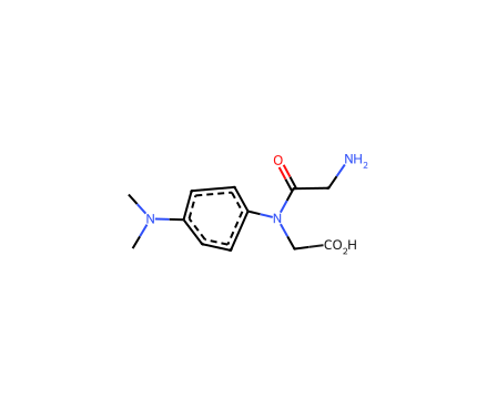 CN(C)c1ccc(N(CC(=O)O)C(=O)CN)cc1